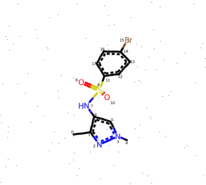 Cc1nn(C)cc1NS(=O)(=O)c1ccc(Br)cc1